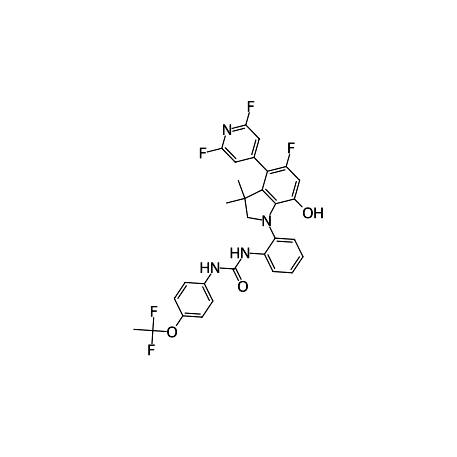 CC(F)(F)Oc1ccc(NC(=O)Nc2ccccc2N2CC(C)(C)c3c(-c4cc(F)nc(F)c4)c(F)cc(O)c32)cc1